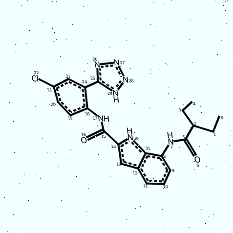 CCC(CC)C(=O)Nc1cccc2cc(C(=O)Nc3ccc(Cl)cc3-c3nnn[nH]3)[nH]c12